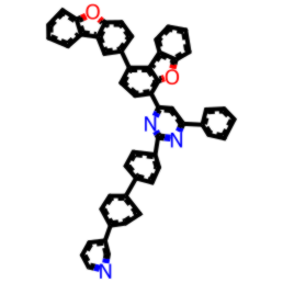 c1ccc(-c2cc(-c3ccc(-c4ccc5oc6ccccc6c5c4)c4c3oc3ccccc34)nc(-c3ccc(-c4ccc(-c5cccnc5)cc4)cc3)n2)cc1